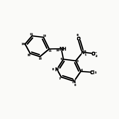 O=[N+]([O-])c1c(Cl)ncnc1Nc1ccccc1